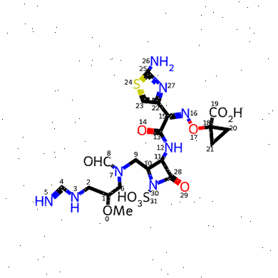 COC(CNC=N)CN(C=O)CC1C(NC(=O)/C(=N\OC2(C(=O)O)CC2)c2csc(N)n2)C(=O)N1S(=O)(=O)O